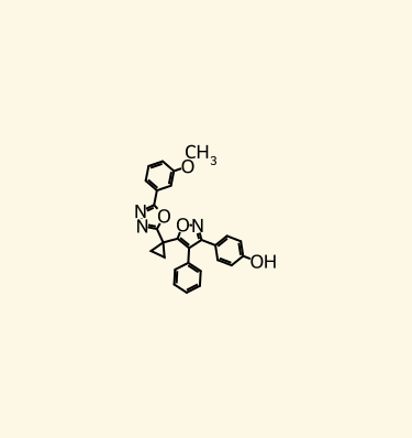 COc1cccc(-c2nnc(C3(c4onc(-c5ccc(O)cc5)c4-c4ccccc4)CC3)o2)c1